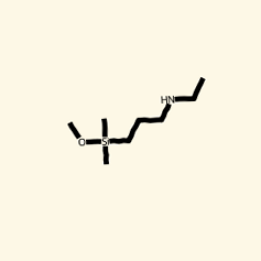 CCNCCC[Si](C)(C)OC